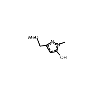 COCc1cc(O)n(C)n1